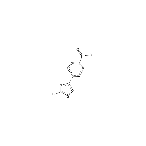 O=[N+]([O-])c1ccc(-c2csc(Br)n2)cc1